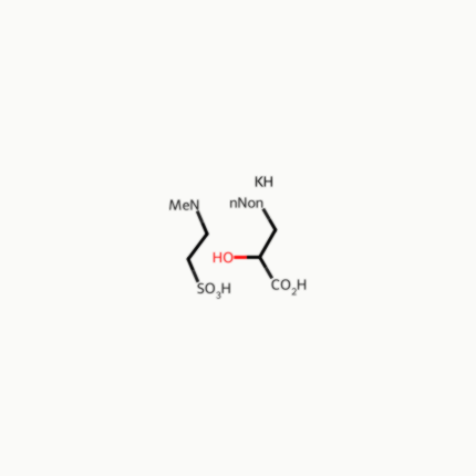 CCCCCCCCCCC(O)C(=O)O.CNCCS(=O)(=O)O.[KH]